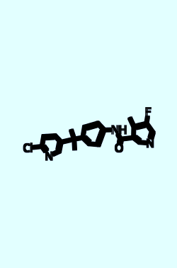 Cc1c(F)cncc1C(=O)Nc1ccc(C(C)(C)c2ccc(Cl)nc2)cc1